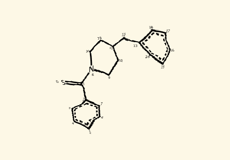 S=C(c1ccccc1)N1CCC(Cc2ccccc2)CC1